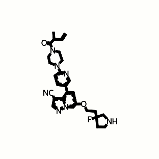 C=CC(C)C(=O)N1CCN(c2ccc(-c3cc(OCCC4(F)CCNC4)cn4ncc(C#N)c34)cn2)CC1